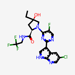 CC[C@@]1(O)C[C@H](C(=O)NCC(F)(F)F)N(c2nc(-c3c[nH]c4ncc(Cl)cc34)ncc2F)C1